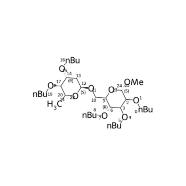 CCCCOC1C(OCCCC)[C@H](OCCCC)C(CO[C@@H]2C[C@@H](OCCCC)C(OCCCC)C(C)O2)O[C@@H]1OC